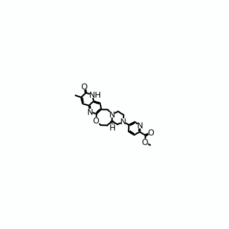 COC(=O)c1ccc(N2CCN3Cc4cc5[nH]c(=O)c(C)cc5nc4OCC[C@@H]3C2)cn1